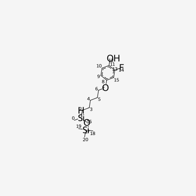 C[SiH](CCCCCOc1ccc(O)c(F)c1)O[Si](C)(C)C